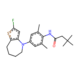 Cc1cc(N2CCCCc3sc(F)cc32)cc(C)c1NC(=O)CC(C)(C)C